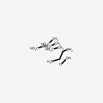 CC(=O)O.CC(=O)O.CC(=O)O.CC(=O)O.NCCN.OCl